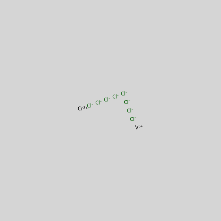 [Cl-].[Cl-].[Cl-].[Cl-].[Cl-].[Cl-].[Cl-].[Cl-].[Cr+3].[V+5]